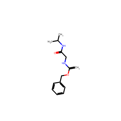 C=C(NCC(=O)NC(C)C)OCc1ccccc1